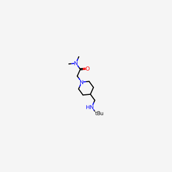 CN(C)C(=O)CN1CCC(CNC(C)(C)C)CC1